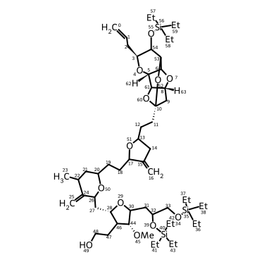 C=CC[C@@H]1O[C@@H]2C3O[C@@H]4C[C@](CCC5CC(=C)C(CCC6CC(C)C(=C)C(C[C@@H]7OC(CC(CO[Si](CC)(CC)CC)O[Si](CC)(CC)CC)[C@H](OC)C7CCO)O6)O5)(OC3C1O[Si](CC)(CC)CC)OC24